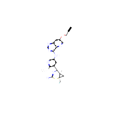 C#CCOc1cnc2c(Nc3cnc(OC)c([C@]4(C)N=C(N)S[C@@]5(CF)C[C@H]54)c3)ncnc2c1